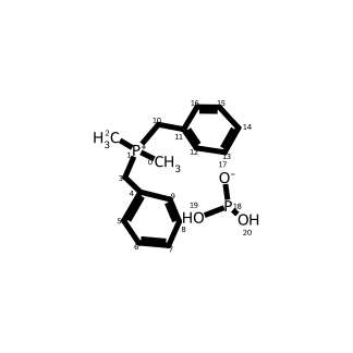 C[P+](C)(Cc1ccccc1)Cc1ccccc1.[O-]P(O)O